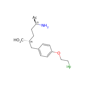 CC(=O)[C@@H](N)CC[C@H](Cc1ccc(OCC[18F])cc1)C(=O)O